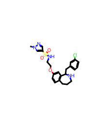 Cn1cc(S(=O)(=O)NCCOc2ccc3c(c2)C(Cc2cccc(Cl)c2)NCCC3)cn1